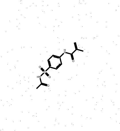 C=C(C)C(=O)Nc1ccc(S(=O)(=O)NC(C)=O)cc1